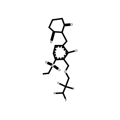 CCS(=O)(=O)c1ccc(CC2C(=O)CCCC2=O)c(Cl)c1COCC(F)(F)C(F)F